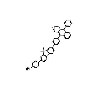 CC(C)c1ccc(-c2ccc3c(c2)C(C)(C)c2cc(-c4ccc(-c5c6ccccc6c(-c6ccccc6)c6ccncc56)cc4)ccc2-3)cc1